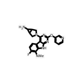 CNc1c(F)ccc2c1[nH]c1nc(Oc3cccnc3)nc(N3CC4C(N)C4C3)c12